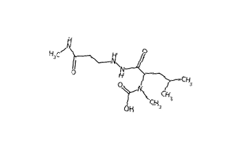 CNC(=O)CCNNC(=O)C(CC(C)C)N(C)C(=O)O